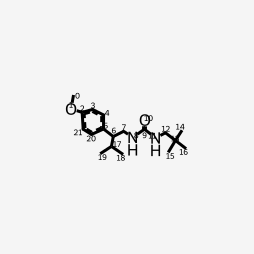 COc1ccc(C(CNC(=O)NCC(C)(C)C)C(C)C)cc1